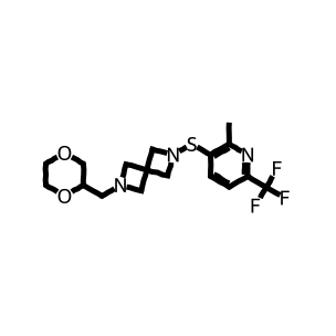 Cc1nc(C(F)(F)F)ccc1SN1CC2(CN(CC3COCCO3)C2)C1